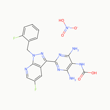 Nc1nc(-c2nn(Cc3ccccc3F)c3ncc(F)cc23)nc(N)c1NC(=O)O.O=[N+]([O-])O